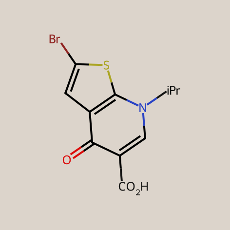 CC(C)n1cc(C(=O)O)c(=O)c2cc(Br)sc21